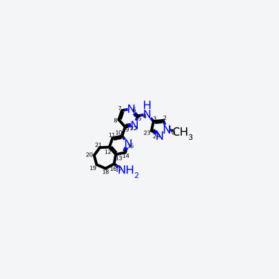 Cn1cc(Nc2nccc(-c3cc4c(cn3)C(N)CCCC4)n2)cn1